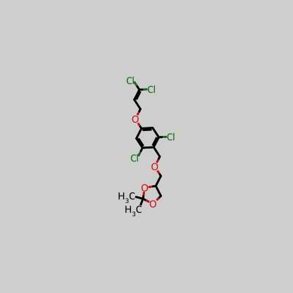 CC1(C)OCC(COCc2c(Cl)cc(OCC=C(Cl)Cl)cc2Cl)O1